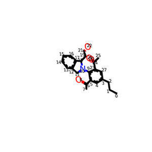 CCCc1cc(C(C)=O)c(N2Cc3ccccc3C2C(=O)C=O)c(C(C)=O)c1